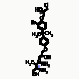 C/C(=C(/N)CO)N(N)C[C@@H](O)COc1ccc(C(C)(C)c2ccc(OC[C@@H](O)CCl)c(Br)c2)cc1